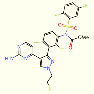 COC(=O)N(c1ccc(F)c(-c2nn(CCF)cc2-c2ccnc(N)n2)c1F)S(=O)(=O)c1cc(F)ccc1F